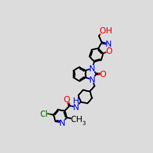 Cc1ncc(Cl)cc1C(=O)NC1CCC(Cn2c(=O)n(-c3ccc4c(CO)noc4c3)c3ccccc32)CC1